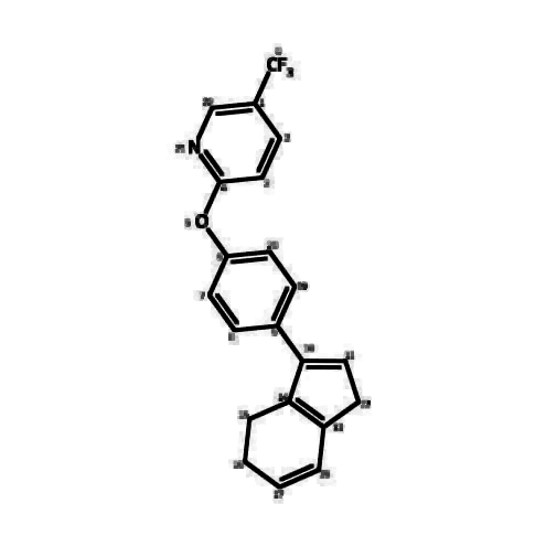 FC(F)(F)c1ccc(Oc2ccc(C3=CCC4=C3CCC=C4)cc2)nc1